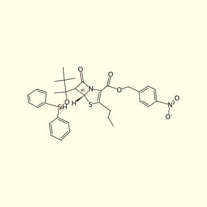 CCCC1=C(C(=O)OCc2ccc([N+](=O)[O-])cc2)N2C(=O)C(C(C)(O[SiH](c3ccccc3)c3ccccc3)C(C)(C)C)[C@H]2S1